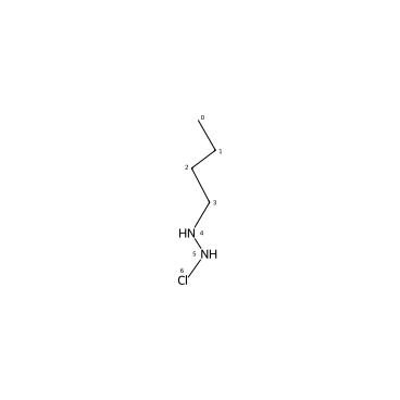 CCCCNNCl